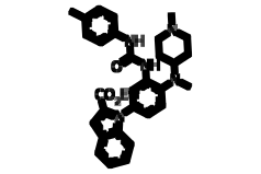 CCOC(=O)c1cc2ccccc2n1-c1ccc(N(C)C2CCN(C)CC2)c(NC(=O)Nc2ccc(C)cc2)c1